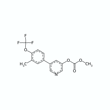 COC(=O)Oc1cncc(-c2ccc(OC(F)(F)F)c(C)c2)c1